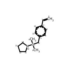 C=Cc1ccc(CS(C)(C)N2CCCC2)cc1